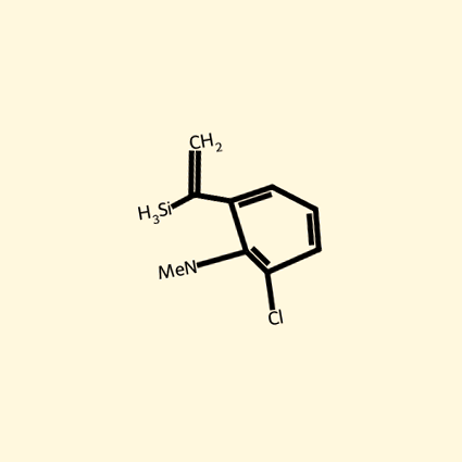 C=C([SiH3])c1cccc(Cl)c1NC